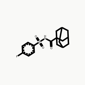 O=C(NS(=O)(=O)c1ccc(F)cc1)C12CC3CC(CC(C3)C1)C2